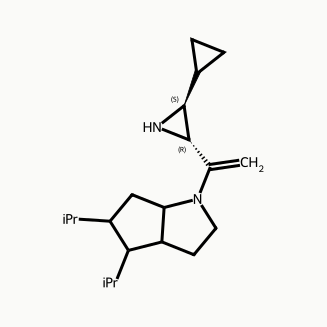 C=C([C@@H]1N[C@H]1C1CC1)N1CCC2C(C(C)C)C(C(C)C)CC21